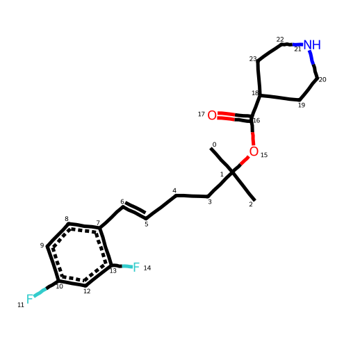 CC(C)(CC/C=C/c1ccc(F)cc1F)OC(=O)C1CCNCC1